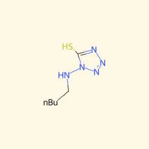 CCCCCNn1nnnc1S